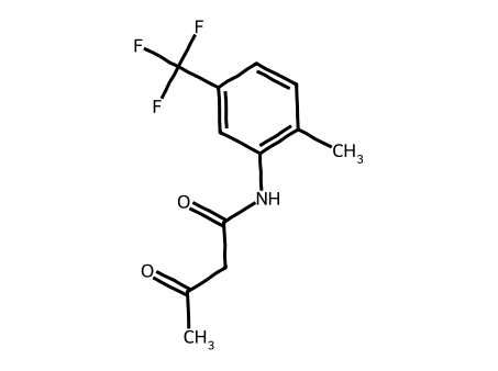 CC(=O)CC(=O)Nc1cc(C(F)(F)F)ccc1C